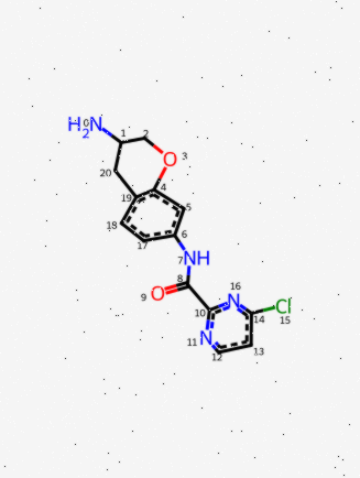 NC1COc2cc(NC(=O)c3nccc(Cl)n3)ccc2C1